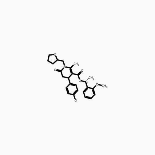 COc1ccccc1[C@@H](C)OC(=O)C1=C(C)N(CC2CCCO2)C(=O)CC1c1ccc(Cl)cc1